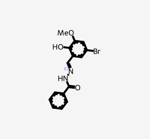 COc1cc(Br)cc(/C=N/NC(=O)c2ccccc2)c1O